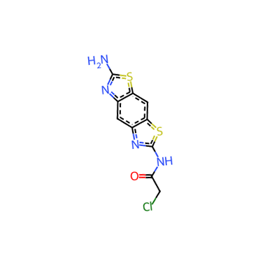 Nc1nc2cc3nc(NC(=O)CCl)sc3cc2s1